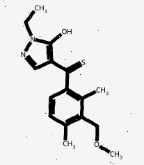 CCn1ncc(C(=S)c2ccc(C)c(COC)c2C)c1O